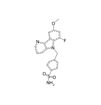 COc1cc(F)c2c(c1)c1ncccc1n2Cc1ccc(S(N)(=O)=O)cc1